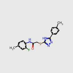 Cc1ccc(-c2nnc(SCC(=O)Nc3ccc(C)cc3F)[nH]2)cc1